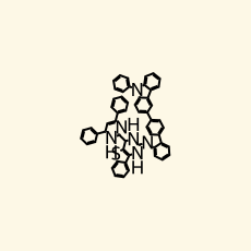 C1=C(c2ccccc2)N=C(C2NC(n3c4ccccc4c4ccc(-c5ccc6c(c5)c5ccccc5n6-c5ccccc5)cc43)Nc3c2sc2ccccc32)NC1c1ccccc1